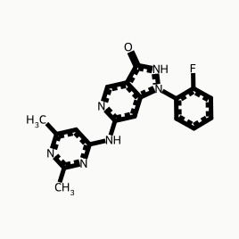 Cc1cc(Nc2cc3c(cn2)c(=O)[nH]n3-c2ccccc2F)nc(C)n1